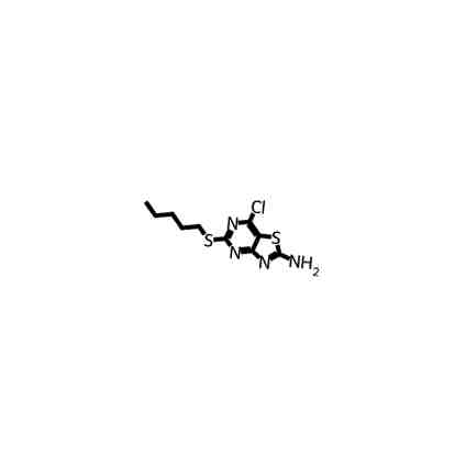 CCCCCSc1nc(Cl)c2sc(N)nc2n1